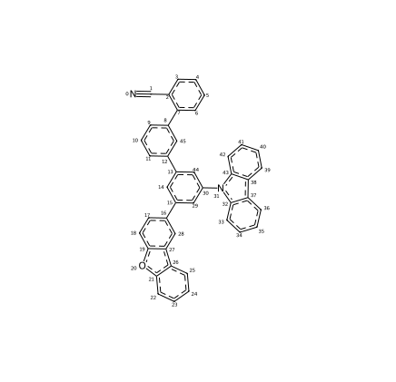 N#Cc1ccccc1-c1cccc(-c2cc(-c3ccc4oc5ccccc5c4c3)cc(-n3c4ccccc4c4ccccc43)c2)c1